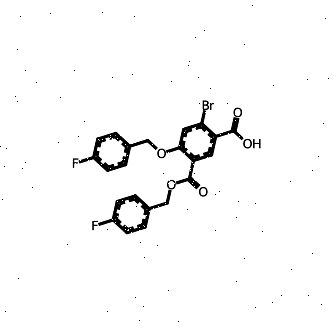 O=C(O)c1cc(C(=O)OCc2ccc(F)cc2)c(OCc2ccc(F)cc2)cc1Br